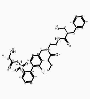 CCCC(=O)N(CCNC(=O)[C@@H](CS)Cc1ccccc1)Cc1ccc(-c2ccccc2S(=O)(=O)NC(=O)[C@H](C)O)c(Cl)c1